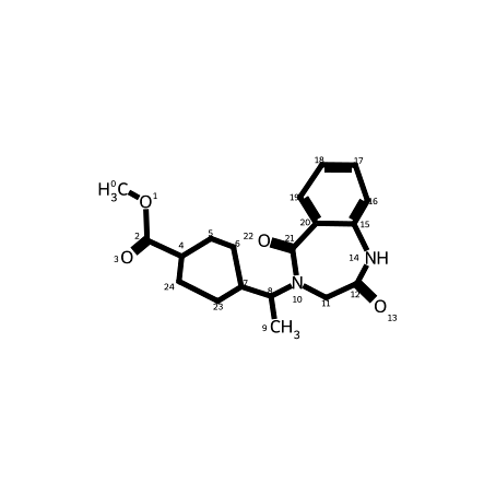 COC(=O)C1CCC(C(C)N2CC(=O)Nc3ccccc3C2=O)CC1